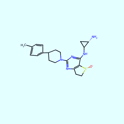 Cc1ccc(C2CCN(c3nc4c(c(NC5C[C@@H]5N)n3)[S+]([O-])CC4)CC2)cc1